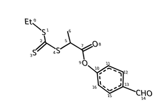 CCSC(=S)SC(C)C(=O)Oc1ccc(C=O)cc1